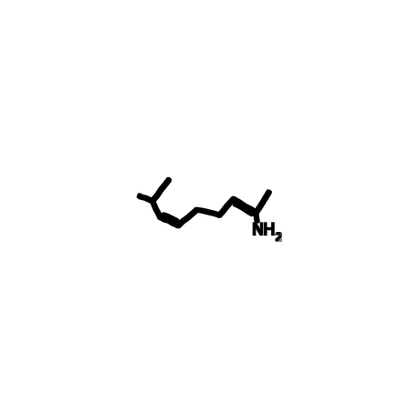 CC(N)=CCC/C=C\C(C)C